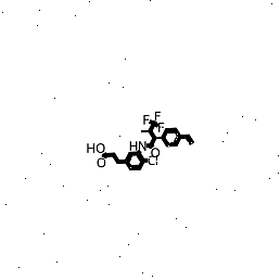 C=CC1=CCC([C@@H](C(=O)Nc2cc(CCC(=O)O)ccc2Cl)[C@@H](C)C(F)(F)F)C=C1